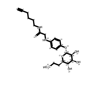 C#CCCCCNC(=S)CNc1ccc(O[C@H]2O[C@H](CCC(=O)O)[C@@H](O)[C@H](O)[C@@H]2O)cc1